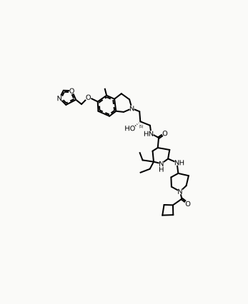 CCC1(CC)CC(C(=O)NC[C@H](O)CN2CCc3c(ccc(OCc4cnco4)c3C)C2)CC(NC2CCN(C(=O)C3CCC3)CC2)N1